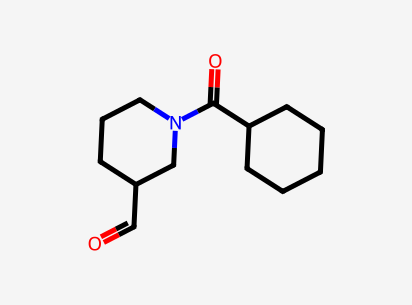 O=CC1CCCN(C(=O)C2CCCCC2)C1